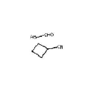 N#CC1CCC1.O=CO